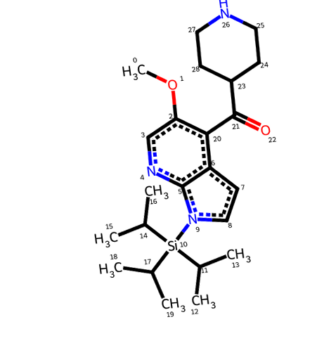 COc1cnc2c(ccn2[Si](C(C)C)(C(C)C)C(C)C)c1C(=O)C1CCNCC1